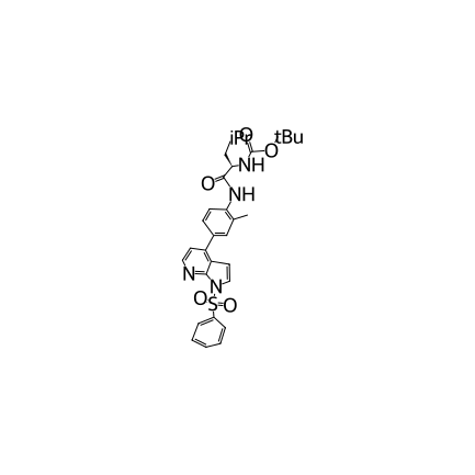 Cc1cc(-c2ccnc3c2ccn3S(=O)(=O)c2ccccc2)ccc1NC(=O)[C@@H](CC(C)C)NC(=O)OC(C)(C)C